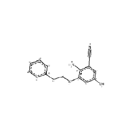 N#Cc1cc(O)cc(OCCc2ccccn2)c1N